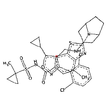 Cc1cc(C(=O)NS(=O)(=O)C2(C)CC2)cc2sc(N3C4CCC3CC(NCc3c(-c5c(Cl)cccc5Cl)noc3C3CC3)C4)nc12